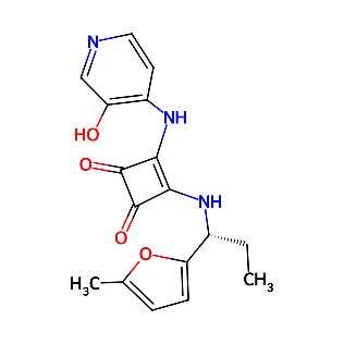 CC[C@@H](Nc1c(Nc2ccncc2O)c(=O)c1=O)c1ccc(C)o1